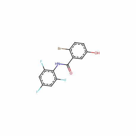 O=C(Nc1c(F)cc(F)cc1F)c1cc(O)ccc1Br